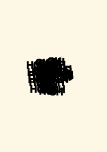 CN(C)CCC(c1ccc(Cl)cc1)c1ccccn1.O=C(OC[C@H]1O[C@@H](OC(=O)c2cc(O)c(O)c(OC(=O)c3cc(O)c(O)c(O)c3)c2)[C@H](OC(=O)c2cc(O)c(O)c(OC(=O)c3cc(O)c(O)c(O)c3)c2)[C@@H](OC(=O)c2cc(O)c(O)c(OC(=O)c3cc(O)c(O)c(O)c3)c2)[C@@H]1OC(=O)c1cc(O)c(O)c(OC(=O)c2cc(O)c(O)c(O)c2)c1)c1cc(O)c(O)c(OC(=O)c2cc(O)c(O)c(O)c2)c1